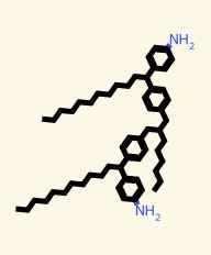 CCCCCCCCCCCC(c1ccc(N)cc1)c1ccc(CC(CCCCCC)Cc2ccc(C(CCCCCCCCCCC)c3ccc(N)cc3)cc2)cc1